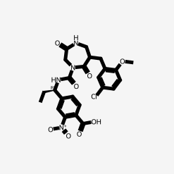 CC[C@@H](NC(=O)N1CC(=O)NCC(Cc2cc(Cl)ccc2OC)C1=O)c1ccc(C(=O)O)c([N+](=O)[O-])c1